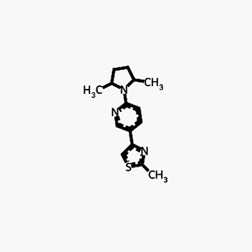 Cc1nc(-c2ccc(N3C(C)CCC3C)nc2)cs1